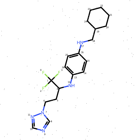 FC(F)(F)C(CCn1cncn1)Nc1ccc(NCC2CCCCC2)cc1